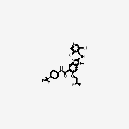 Cn1c(Nc2c(Cl)cncc2Cl)nc2cc(C(=O)N[C@H]3CC[C@H](C(F)(F)F)CC3)c(OCC(F)F)nc21